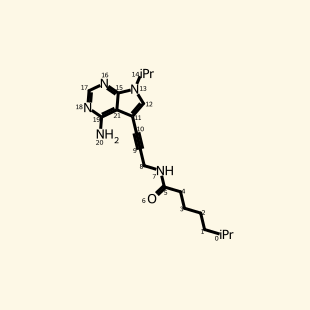 CC(C)CCCCC(=O)NCC#Cc1cn(C(C)C)c2ncnc(N)c12